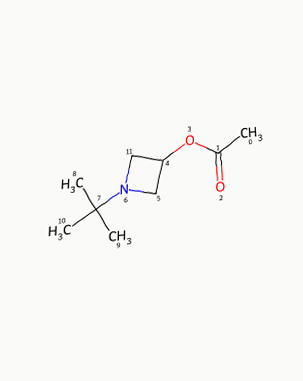 CC(=O)OC1CN(C(C)(C)C)C1